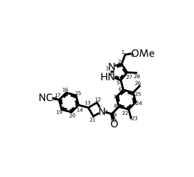 COCc1n[nH]c(-c2cc(C(=O)N3CC(c4ccc(C#N)cc4)C3)c(C)cc2C)c1C